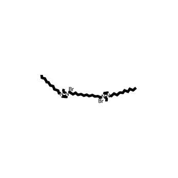 CCCCCCCCCCN1C=CN(C(Br)CCCCCCCCCCC(Br)N2C=CN(CCCCCCCCCC)C2C)C1C